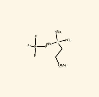 CCCC[P+](CCCC)(CCCC)CCOC.F[B-](F)(F)F